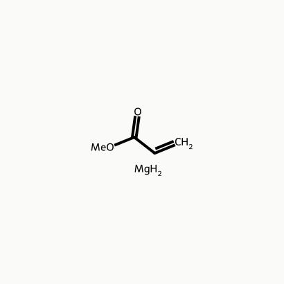 C=CC(=O)OC.[MgH2]